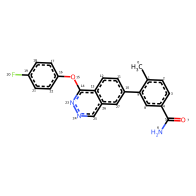 Cc1ccc(C(N)=O)cc1-c1ccc2c(Oc3ccc(F)cc3)nncc2c1